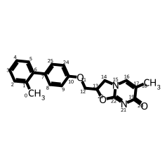 Cc1ccccc1-c1ccc(OCC2Cn3cc(C)c(=O)nc3O2)cc1